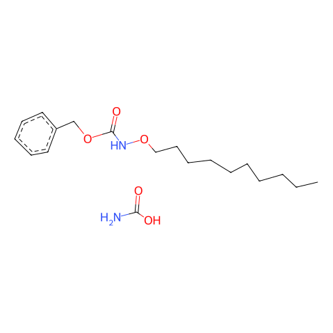 CCCCCCCCCCONC(=O)OCc1ccccc1.NC(=O)O